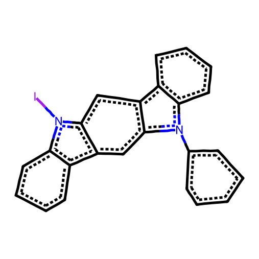 In1c2ccccc2c2cc3c(cc21)c1ccccc1n3-c1ccccc1